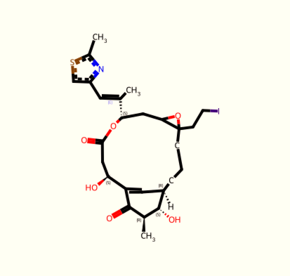 C/C(=C\c1csc(C)n1)[C@@H]1CC2OC2(CCI)CCC[C@@H]2C=C(C(=O)[C@H](C)[C@H]2O)[C@@H](O)CC(=O)O1